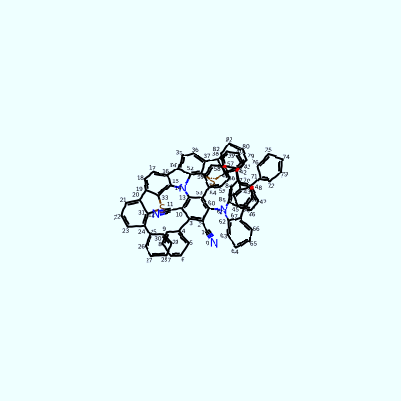 N#Cc1c(-c2ccccc2)c(C#N)c(-n2c3c(ccc4c5cccc(-c6ccccc6)c5sc43)c3ccc4c5cccc(-c6ccccc6)c5sc4c32)c(-c2ccccc2)c1-n1c2ccccc2c2cc(-c3ccccc3)c(-c3ccccc3)cc21